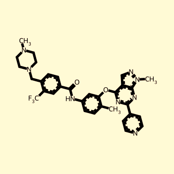 Cc1ccc(NC(=O)c2ccc(CN3CCN(C)CC3)c(C(F)(F)F)c2)cc1Oc1nc(-c2ccncc2)nc2c1cnn2C